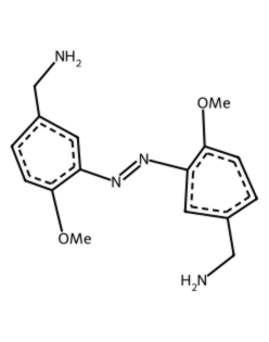 COc1ccc(CN)cc1/N=N/c1cc(CN)ccc1OC